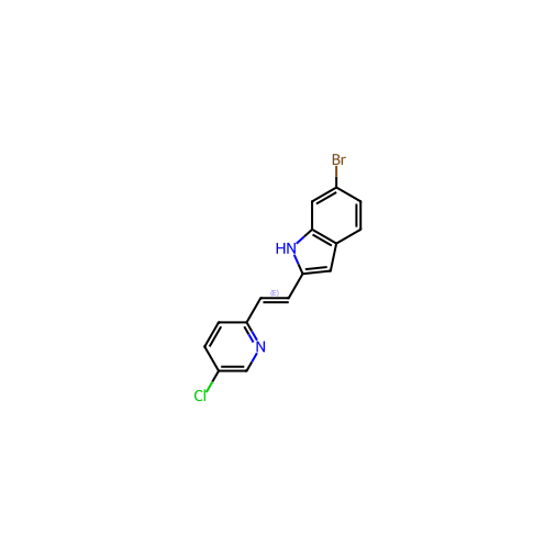 Clc1ccc(/C=C/c2cc3ccc(Br)cc3[nH]2)nc1